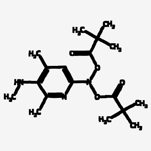 CNc1c(C)cc(N(OC(=O)C(C)(C)C)OC(=O)C(C)(C)C)nc1C